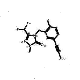 Cc1ccc(C#CC(C)(C)C)cc1Cn1c(C(F)F)nn(C)c1=O